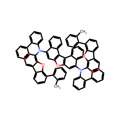 Cc1ccccc1-c1cccc2c1oc1c(N(c3ccccc3-c3ccccc3)c3cc4oc5cc(N(c6ccccc6-c6ccccc6)c6cccc7c6oc6c(-c8ccccc8C)cccc67)c6ccccc6c5c4c4ccccc34)cccc12